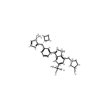 Cn1cnnc1[C@@H](c1cccc(-c2n[nH]c3c(CN4CCC(F)C4)cc(C(F)(F)F)nc23)c1)C1CCC1